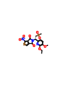 CCOc1nc([C@@H](CS(C)(=O)=O)N2C(=O)c3csc([N+](=O)[O-])c3C2=O)ccc1OC